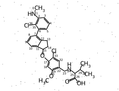 CNc1cccc(-c2cccc3c2CCC3Oc2cc(OC)c(CNC(C(=O)O)C(C)C)cc2Cl)c1Cl